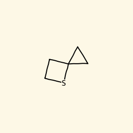 C1CC2(CC2)S1